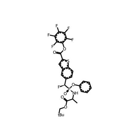 CC(N[P@](=O)(Oc1ccccc1)[C@@H](F)c1ccc2sc(C(=O)Oc3c(F)c(F)c(F)c(F)c3F)cc2c1)C(=O)OCC(C)(C)C